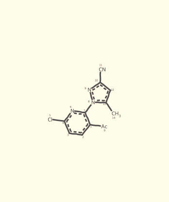 CC(=O)c1ccc(Cl)nc1-n1nc(C#N)cc1C